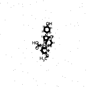 COc1ccc(NC(=O)O)c(N2CCC[C@@]3(CCN([C@H]4CC[C@H](O)CC4)C3=O)C2)n1